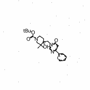 CC(C)(C)OC(=O)N1CC[C@](O)(Cn2cnc(-c3ccccc3)cc2=O)C(C)(C)C1